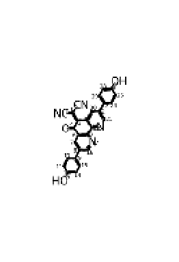 N#CC(C#N)=C1C(=O)c2cc(-c3ccc(O)cc3)cnc2-c2ncc(-c3ccc(O)cc3)cc21